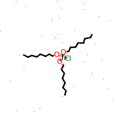 CCCCCCCC[O][Ti]([Cl])([O]CCCCCCCC)[O]CCCCCCCC